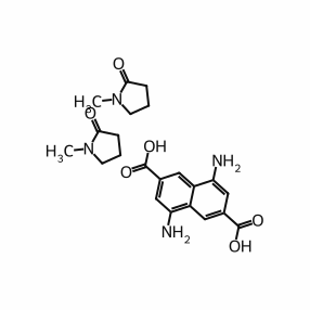 CN1CCCC1=O.CN1CCCC1=O.Nc1cc(C(=O)O)cc2c(N)cc(C(=O)O)cc12